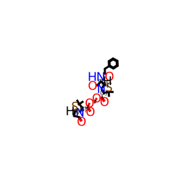 CC1(C)S[C@@H]2[C@H](NC(=O)Cc3ccccc3)C(=O)N2[C@H]1C(=O)OCOC(=O)[C@@H]1N2C(=O)C[C@H]2SC1(C)C